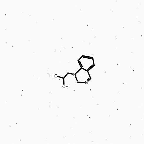 CC(O)CN1CN=Cc2ccccc21